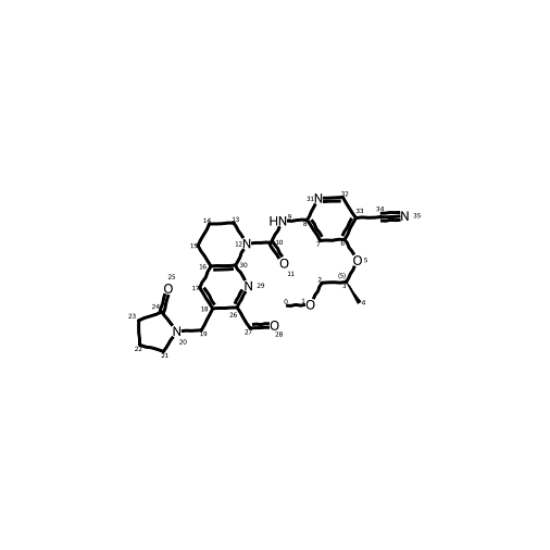 COC[C@H](C)Oc1cc(NC(=O)N2CCCc3cc(CN4CCCC4=O)c(C=O)nc32)ncc1C#N